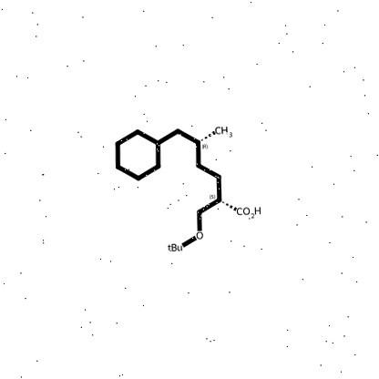 C[C@H](CC[C@@H](COC(C)(C)C)C(=O)O)CC1CCCCC1